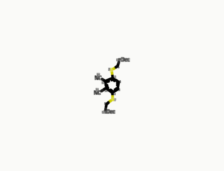 CCCCCCCCCCCSc1ccc(SCCCCCCCCCCC)c(C#N)c1C#N